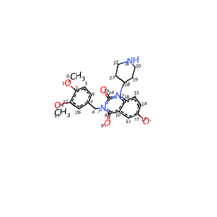 COc1ccc(Cn2c(=O)c3cc([O])ccc3n(C3CCNCC3)c2=O)cc1OC